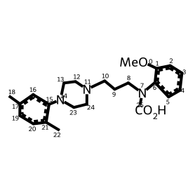 COc1ccccc1N(CCCN1CCN(c2cc(C)ccc2C)CC1)C(=O)O